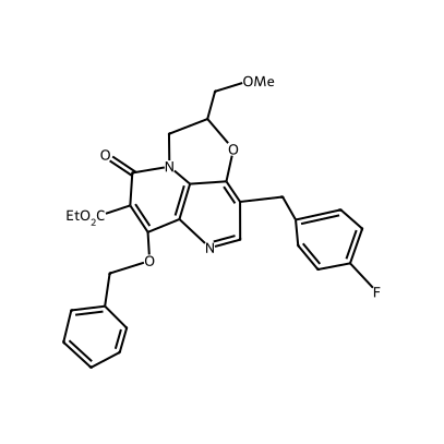 CCOC(=O)c1c(OCc2ccccc2)c2ncc(Cc3ccc(F)cc3)c3c2n(c1=O)CC(COC)O3